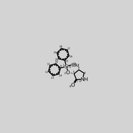 CC(C)(C)[Si](O[C@@H]1CCNC1=O)(c1ccccc1)c1ccccc1